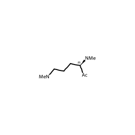 CNCCC[C@@H](NC)C(C)=O